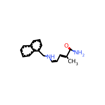 C/C(=C\C=C/NCc1cccc2ccccc12)C(N)=O